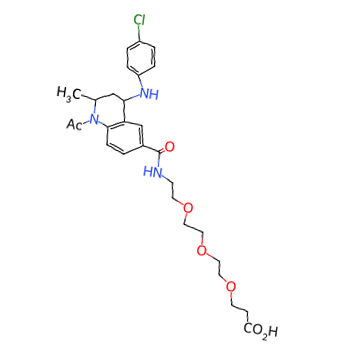 CC(=O)N1c2ccc(C(=O)NCCOCCOCCOCCC(=O)O)cc2C(Nc2ccc(Cl)cc2)CC1C